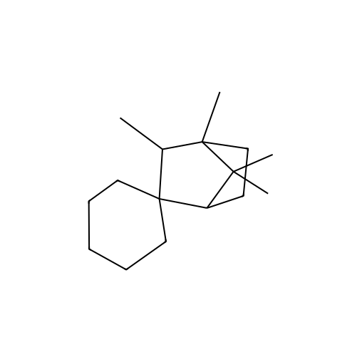 CC1C2(CCCCC2)C2CCC1(C)C2(C)C